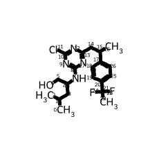 CC(C)CC(CO)Nc1nc(Cl)nc(CC(C)c2ccc(C(C)(F)F)cc2)n1